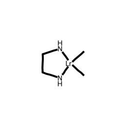 [CH3][Lr]1([CH3])[NH]CC[NH]1